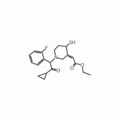 CCOC(=O)C=C1CN(C(C(=O)C2CC2)c2ccccc2F)CCC1S